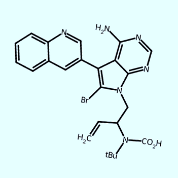 C=CC(Cn1c(Br)c(-c2cnc3ccccc3c2)c2c(N)ncnc21)N(C(=O)O)C(C)(C)C